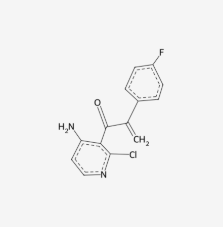 C=C(C(=O)c1c(N)ccnc1Cl)c1ccc(F)cc1